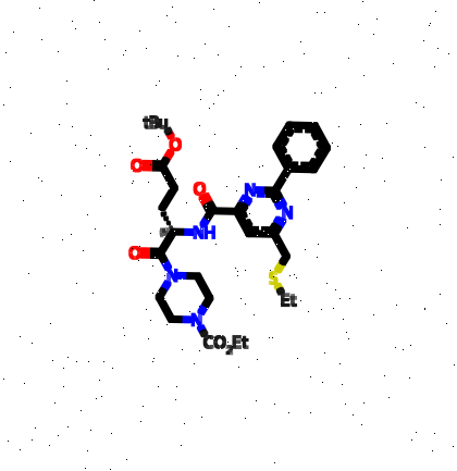 CCOC(=O)N1CCN(C(=O)[C@H](CCC(=O)OC(C)(C)C)NC(=O)c2cc(CSCC)nc(-c3ccccc3)n2)CC1